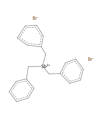 [Br-].[Br-].c1ccc([CH2][Sb+2]([CH2]c2ccccc2)[CH2]c2ccccc2)cc1